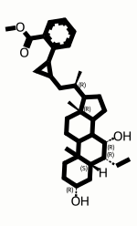 CC[C@H]1[C@@H](O)C2C(CC[C@@]3(C)C2CCC3[C@H](C)CC2CC2c2ccccc2C(=O)OC)C2(C)CC[C@@H](O)C[C@@H]12